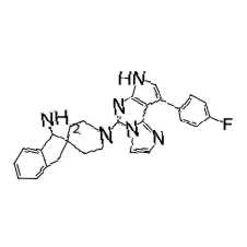 N[C@@H]1c2ccccc2CC12CCN(c1nc3[nH]cc(-c4ccc(F)cc4)c3c3nccn13)CC2